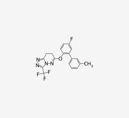 Cc1cccc(-c2cc(F)ccc2OC2=Nn3c(nnc3C(F)(F)F)CC2)c1